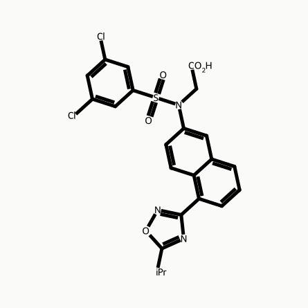 CC(C)c1nc(-c2cccc3cc(N(CC(=O)O)S(=O)(=O)c4cc(Cl)cc(Cl)c4)ccc23)no1